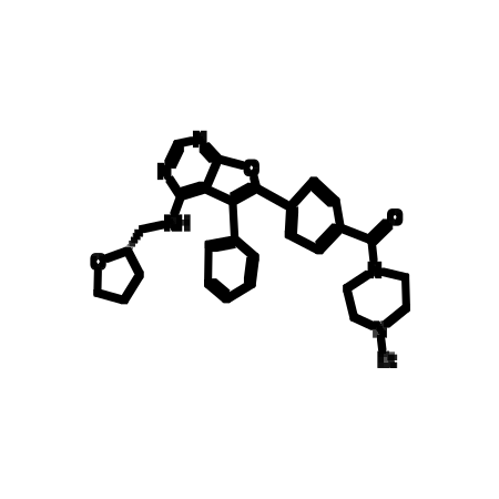 CCN1CCN(C(=O)c2ccc(-c3oc4ncnc(NC[C@@H]5CCCO5)c4c3-c3ccccc3)cc2)CC1